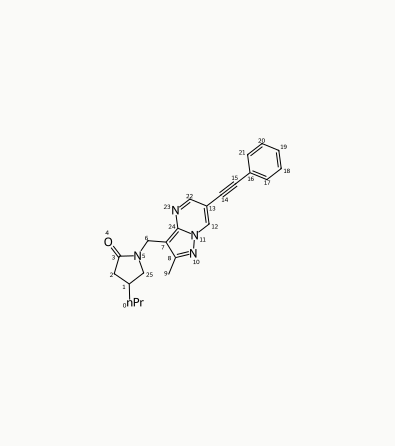 CCCC1CC(=O)N(Cc2c(C)nn3cc(C#Cc4ccccc4)cnc23)C1